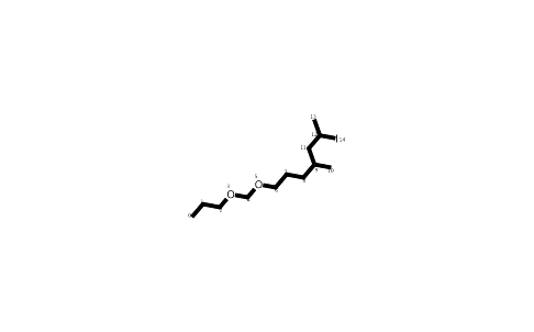 CCCOCOCCCC(C)CC(C)I